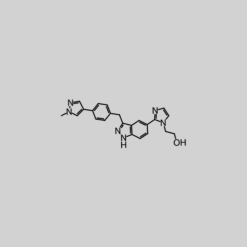 Cn1cc(-c2ccc(Cc3n[nH]c4ccc(-c5nccn5CCO)cc34)cc2)cn1